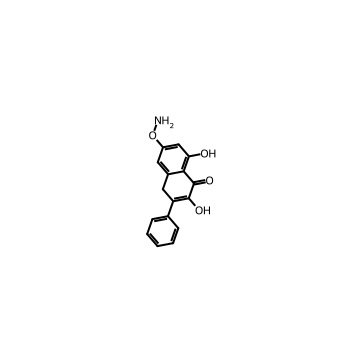 NOc1cc(O)c2c(c1)CC(c1ccccc1)=C(O)C2=O